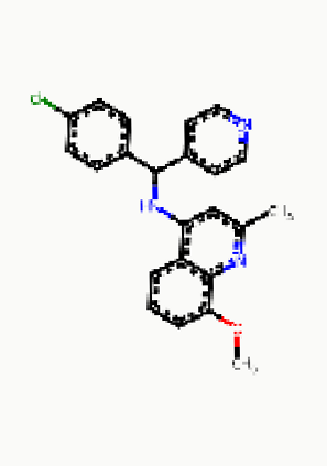 COc1cccc2c(NC(c3ccncc3)c3ccc(Cl)cc3)cc(C)nc12